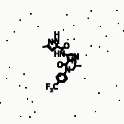 Cc1cc(C(=O)Nc2cnn3c2C(=O)N(c2ccc(C(F)(F)F)cc2)C[C@@H]3C)[nH]n1